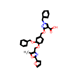 Cc1oc(-c2ccco2)nc1COc1ccc(COc2nn(Cc3ccccc3)cc2C(=O)O)cc1OCc1ccccc1